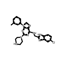 Cc1cccc(-n2cnc3c(NCc4nc5cc(Cl)ccc5[nH]4)nc(N4CCNCC4)nc32)c1